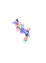 COc1cc2nc(COC(F)(F)F)cn2c(Nc2cc([C@H]3OC[C@@H](OC(=O)NC4(C)CC4)[C@H]3F)[nH]n2)n1